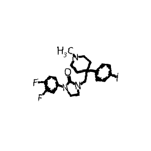 CN1CCC(CN2CCN(c3ccc(F)c(F)c3)C2=O)(c2ccc(I)cc2)CC1